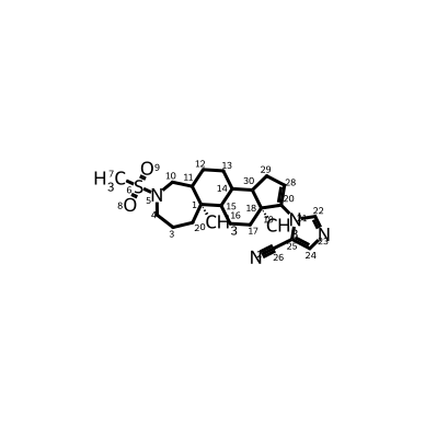 C[C@]12CCCN(S(C)(=O)=O)CC1CCC1C2CC[C@]2(C)C(n3cncc3C#N)=CCC12